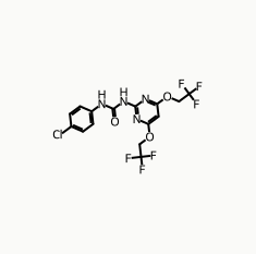 O=C(Nc1ccc(Cl)cc1)Nc1nc(OCC(F)(F)F)cc(OCC(F)(F)F)n1